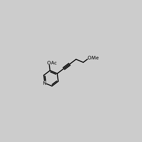 COCCC#Cc1ccncc1OC(C)=O